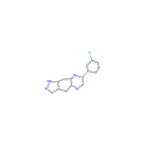 Clc1cccc(-c2cnc3cc4cn[nH]c4cc3n2)c1